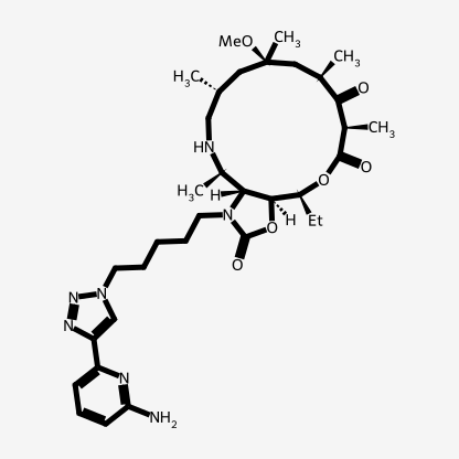 CC[C@@H]1OC(=O)[C@H](C)C(=O)[C@H](C)C[C@](C)(OC)C[C@@H](C)CN[C@H](C)[C@@H]2[C@@H]1OC(=O)N2CCCCCn1cc(-c2cccc(N)n2)nn1